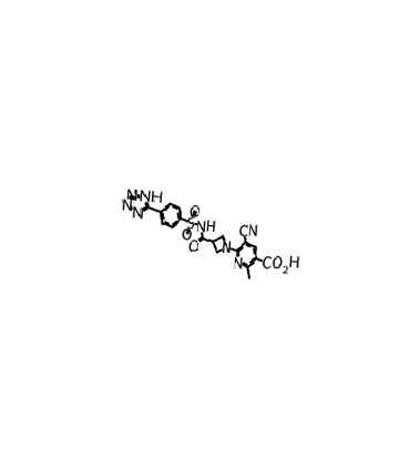 Cc1nc(N2CC(C(=O)NS(=O)(=O)c3ccc(-c4nnn[nH]4)cc3)C2)c(C#N)cc1C(=O)O